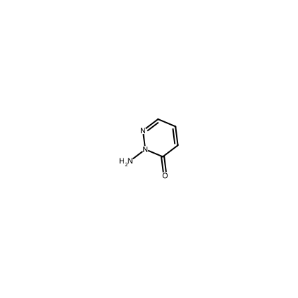 Nn1ncccc1=O